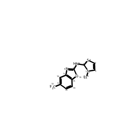 CCN1C=CSC1Nc1nc2cc(C(F)(F)F)ccc2o1